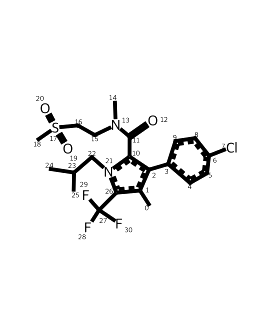 Cc1c(-c2ccc(Cl)cc2)c(C(=O)N(C)CCS(C)(=O)=O)n(CC(C)C)c1C(F)(F)F